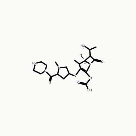 CC(O)C1C(=O)N2C(OC(=O)O)=C(SC3CC(C(=O)N4CCNCC4)N(C)C3)C(C)[C@@H]12